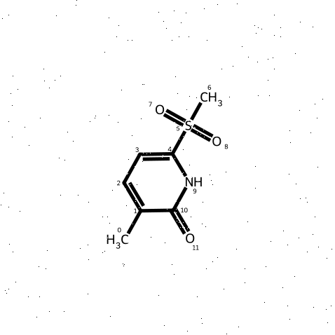 Cc1ccc(S(C)(=O)=O)[nH]c1=O